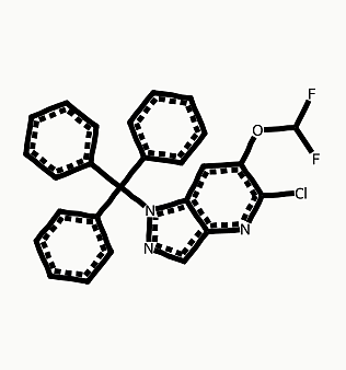 FC(F)Oc1cc2c(cnn2C(c2ccccc2)(c2ccccc2)c2ccccc2)nc1Cl